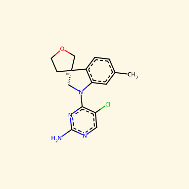 Cc1ccc2c(c1)N(c1nc(N)ncc1Cl)C[C@@]21CCOC1